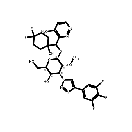 CO[C@@H]1[C@@H](n2cc(-c3cc(F)c(F)c(F)c3)nn2)[C@@H](O)[C@@H](CO)O[C@H]1SC(c1nnccc1C)C1(O)CCC(F)(F)CC1